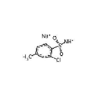 Cc1ccc(S([NH-])(=O)=O)c(Cl)c1.[Na+]